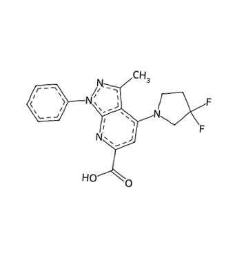 Cc1nn(-c2ccccc2)c2nc(C(=O)O)cc(N3CCC(F)(F)C3)c12